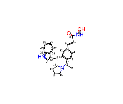 CC(c1ccc(/C=C/C(=O)NO)cc1)N1CCC[C@@H]1Cc1c[nH]c2ccccc12